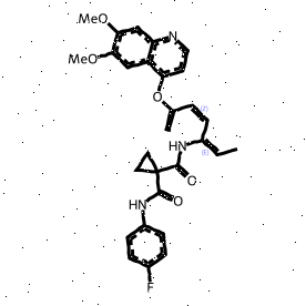 C=C(/C=C\C(=C/C)NC(=O)C1(C(=O)Nc2ccc(F)cc2)CC1)Oc1ccnc2cc(OC)c(OC)cc12